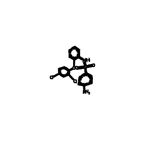 Nc1ccc(S(=O)(=O)Nc2ccccc2Oc2ccc(Cl)cc2Cl)cc1